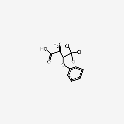 C=C(C(=O)O)C(Oc1ccccc1)C(Cl)(Cl)Cl